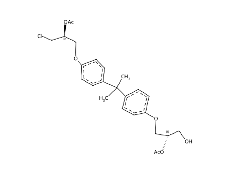 CC(=O)O[C@H](CCl)COc1ccc(C(C)(C)c2ccc(OC[C@H](CO)OC(C)=O)cc2)cc1